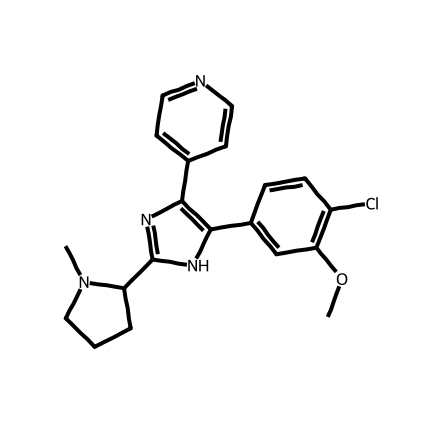 COc1cc(-c2[nH]c(C3CCCN3C)nc2-c2ccncc2)ccc1Cl